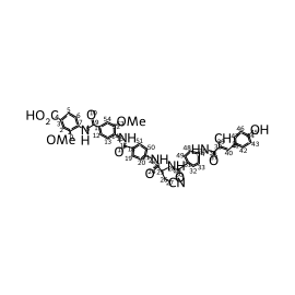 COc1cc(C(=O)O)ccc1NC(=O)c1ccc(NC(=O)c2ccc(NC(=O)C(CC#N)NC(=O)c3ccc(NC(=O)/C(C)=C/c4ccc(O)cc4)cc3)cc2)c(OC)c1